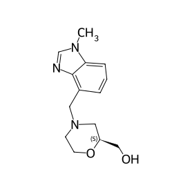 Cn1cnc2c(CN3CCO[C@H](CO)C3)cccc21